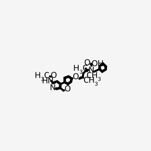 CC(=O)Nc1cc2c(cn1)COc1cc(OC=C(C)CC(C)(C)N(Cc3ccccc3)C(=O)O)ccc1-2